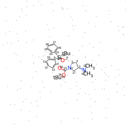 CN(C)[C@@H]1C[C@@H](CO[Si](c2ccccc2)(c2ccccc2)C(C)(C)C)N(C(=O)OC(C)(C)C)C1